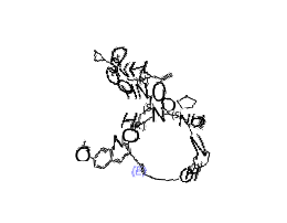 C=CC1C[C@]1(NC(=O)[C@@H]1C[C@@H]2CN1C(=O)[C@H](C1CCCC1)NC(=O)N1CC[C@H](C1)OCCC/C=C/c1cc3ccc(OC)cc3nc1O2)C(=O)NS(=O)(=O)C1CC1